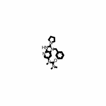 CN(C)C(=O)N(C)c1cnc2c(c1)N(Cc1ccccc1)C(N1CCCC1)N2